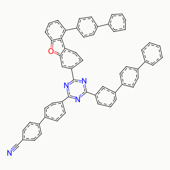 N#Cc1ccc(-c2ccc(-c3nc(-c4cccc(-c5ccc(-c6ccccc6)cc5)c4)nc(-c4ccc5c(c4)oc4cccc(-c6ccc(-c7ccccc7)cc6)c45)n3)cc2)cc1